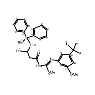 CCC(CC(=O)N/C(=N/c1cc(OC)cc(C(C)(F)F)c1)SC)O[Si](c1ccccc1)(c1ccccc1)C(C)(C)C